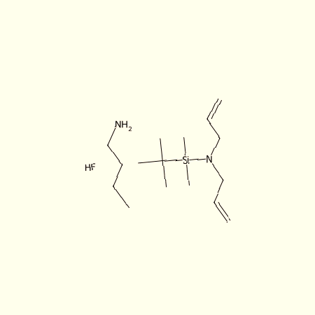 C=CCN(CC=C)[Si](C)(C)C(C)(C)C.CCCCN.F